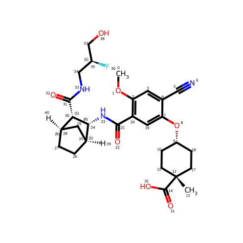 COc1cc(C#N)c(O[C@H]2CC[C@@](C)(C(=O)O)CC2)cc1C(=O)N[C@@H]1[C@H]2CC[C@H](C2)[C@@H]1C(=O)NC[C@H](F)CO